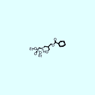 CCOP(=O)(CSCC(CO)COC(=O)c1ccccc1)OCC